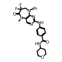 CC(C)N1CC(F)(F)C(=O)N(C)c2cnc(Nc3ccc(C(=O)NC4CCOCC4)cc3)nc21